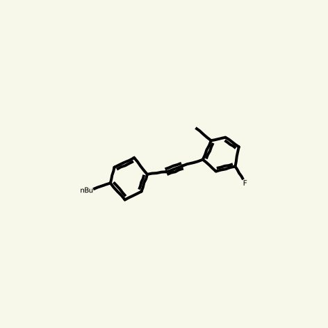 CCCCc1ccc(C#Cc2cc(F)ccc2C)cc1